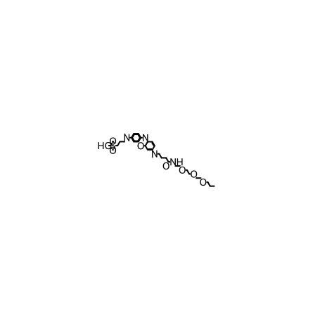 CCCOCCOCCOCCNC(=O)CCCN(C)C1=CC2Oc3cc(N(C)CCCS(=O)(=O)O)ccc3N=C2C=C1